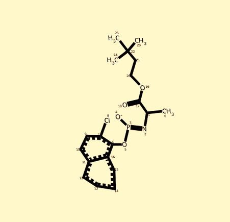 CC(/N=[P+](\[O-])Oc1c(Cl)ccc2ccccc12)C(=O)OCCC(C)(C)C